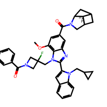 COc1cc(C(=O)N2CC3CC4CC2[C@H]43)cc2nc(-c3cc4ccccc4n3CC3CC3)n(CC3(F)CN(C(=O)c4ccccc4)C3)c12